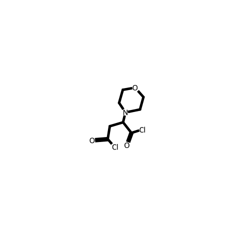 O=C(Cl)CC(C(=O)Cl)N1CCOCC1